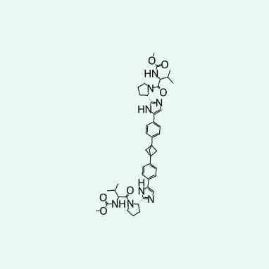 COC(=O)N[C@H](C(=O)N1CCC[C@H]1c1ncc(-c2ccc(C34CC(c5ccc(-c6cnc([C@@H]7CCCN7C(=O)[C@@H](NC(=O)OC)C(C)C)[nH]6)cc5)(C3)C4)cc2)[nH]1)C(C)C